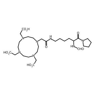 O=CNC(CCCCNC(=O)CN1CCN(CC(=O)O)CCN(CC(=O)O)CCN(CC(=O)O)CC1)C(=O)N1CCCC1